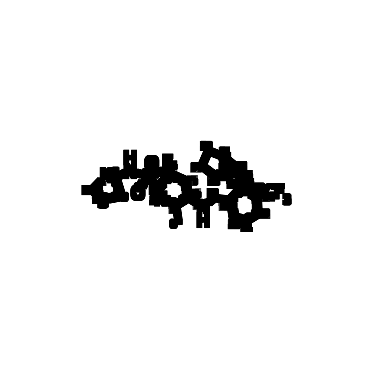 Cc1nc(S(=O)(=O)Nc2cscn2)c(F)cc1NCc1cccc(C(F)(F)F)c1CN1C2CCC1CC2